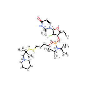 [2H]CC1OC(N2C=CC(=O)NC2=C)C(F)C1OP(OCCCCSSC(C)(C)CN1CCCCC1)N(C(C)C)C(C)C